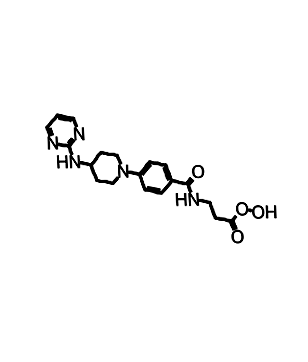 O=C(CCNC(=O)c1ccc(N2CCC(Nc3ncccn3)CC2)cc1)OO